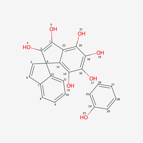 OC1=C(O)C2(C=Cc3ccccc32)c2c(O)c(O)c(O)c(O)c21.Oc1ccccc1